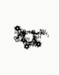 N=C(N)NCCCC1NC(=O)C(Cc2c[nH]c3ccccc23)NC(=O)[C@@H](CC2CCCCC2)NC(=O)C2CCCN2C(=O)C(NC(=O)[C@H](Cc2ccccc2)NC(=O)CCC(=O)O)CCCNC1=O